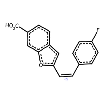 O=C(O)c1ccc2cc(/C=C\c3ccc(F)cc3)oc2c1